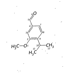 COc1cc(C=O)ccc1C(C)C